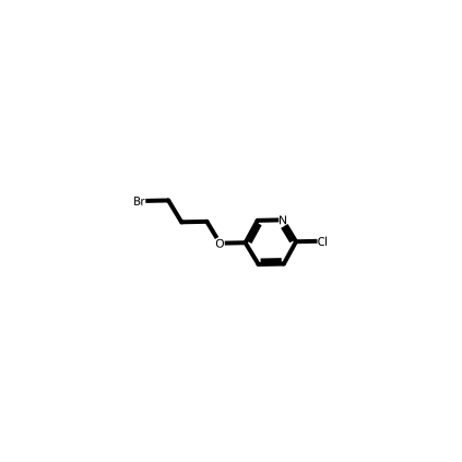 Clc1ccc(OCCCBr)cn1